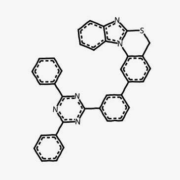 c1ccc(-c2nc(-c3ccccc3)nc(-c3cccc(-c4ccc5c(c4)-n4c(nc6ccccc64)SC5)c3)n2)cc1